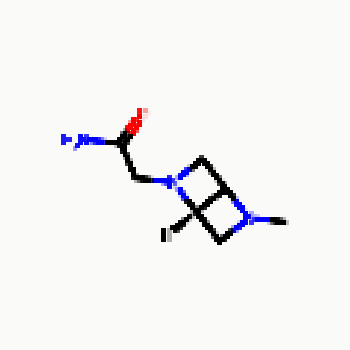 CN1C[C@H]2C1CN2CC(N)=O